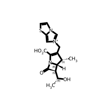 C[C@@H](O)[C@H]1C(=O)N2C(C(=O)O)=C(C[n+]3cc4sccn4c3)[C@H](C)[C@H]12